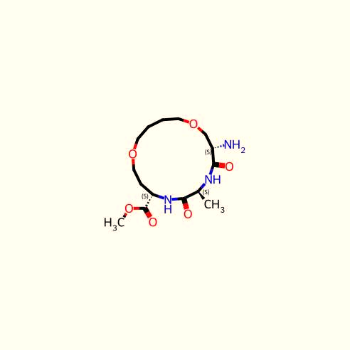 COC(=O)[C@@H]1CCOCCCCOC[C@H](N)C(=O)N[C@@H](C)C(=O)N1